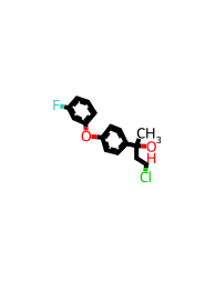 CC(O)(CCCl)c1ccc(Oc2cccc(F)c2)cc1